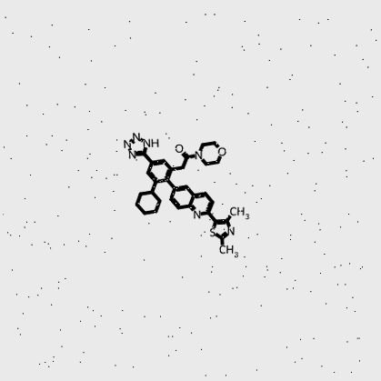 Cc1nc(C)c(-c2ccc3cc(-c4c(CC(=O)N5CCOCC5)cc(-c5nnn[nH]5)cc4C4CCCCC4)ccc3n2)s1